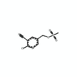 CS(=O)(=O)OCc1cnc(Cl)c(C#N)c1